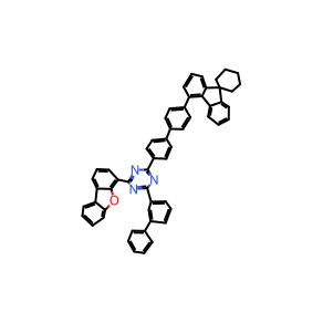 c1ccc(-c2cccc(-c3nc(-c4ccc(-c5ccc(-c6cccc7c6-c6ccccc6C76CCCCC6)cc5)cc4)nc(-c4cccc5c4oc4ccccc45)n3)c2)cc1